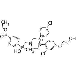 CCOC(=O)c1ccc([C@](C)(O)CN2CCN(c3ccc(OCCO)cc3Cl)[C@H](c3ccc(Cl)cc3)C2)cn1